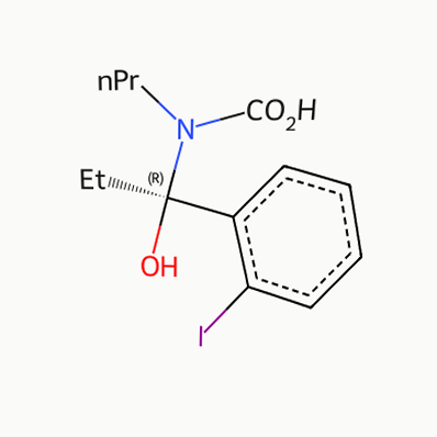 CCCN(C(=O)O)[C@@](O)(CC)c1ccccc1I